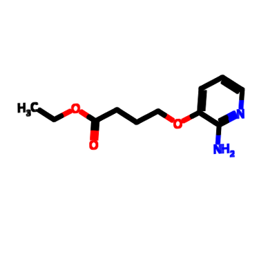 CCOC(=O)CCCOc1cccnc1N